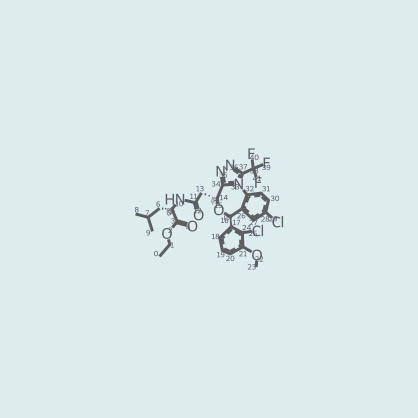 CCOC(=O)[C@H](CC(C)C)NC(=O)C[C@H]1O[C@H](c2cccc(OC)c2Cl)c2cc(Cl)ccc2-n2c1nnc2C(F)(F)F